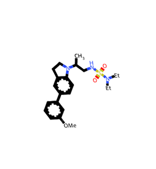 CCN(CC)S(=O)(=O)NCC(C)N1CCc2cc(-c3cccc(OC)c3)ccc21